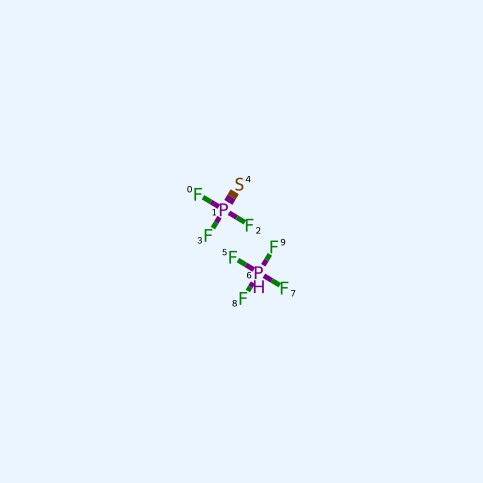 FP(F)(F)=S.F[PH](F)(F)F